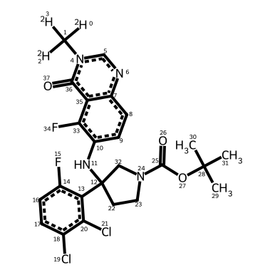 [2H]C([2H])([2H])n1cnc2ccc(NC3(c4c(F)ccc(Cl)c4Cl)CCN(C(=O)OC(C)(C)C)C3)c(F)c2c1=O